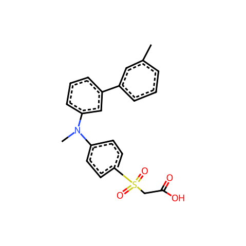 Cc1cccc(-c2cccc(N(C)c3ccc(S(=O)(=O)CC(=O)O)cc3)c2)c1